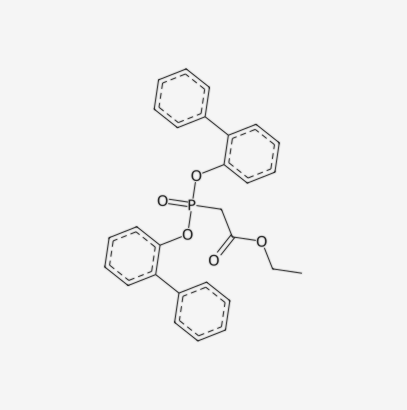 CCOC(=O)CP(=O)(Oc1ccccc1-c1ccccc1)Oc1ccccc1-c1ccccc1